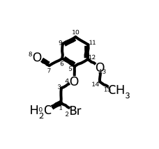 C=C(Br)COc1c(C=O)cccc1OCC